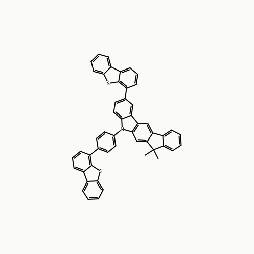 CC1(C)c2ccccc2-c2cc3c4cc(-c5cccc6c5sc5ccccc56)ccc4n(-c4ccc(-c5cccc6c5sc5ccccc56)cc4)c3cc21